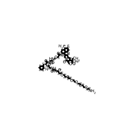 CC[C@@]1(O)C(=O)OCc2c1cc1n(c2=O)Cc2c-1nc1cc(F)c(C)c3c1c2[C@@H](NC(=O)COCNC(=O)CNC(=O)[C@H](Cc1ccccc1)NC(=O)CNC(=O)CNC(=O)CCOCCOCCOCCOCCOCCOCCN)CC3